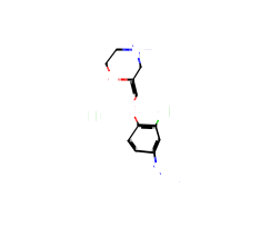 Cl.Nc1ccc(OC=C2CNCCO2)c(Cl)c1